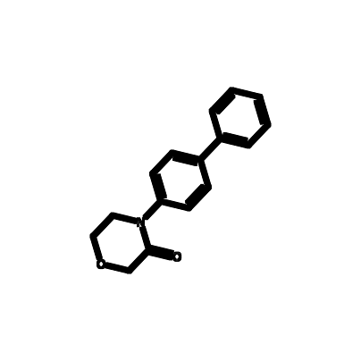 O=C1COCCN1c1ccc(-c2ccccc2)cc1